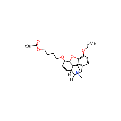 COCOc1ccc2c3c1OC1C(OCCCCOC(=O)C(C)(C)C)C=C[C@H]4[C@@H](C2)N(C)CC[C@]314